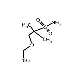 CC(C)(C)COCC(C)(C)S(N)(=O)=O